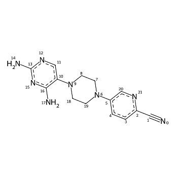 N#Cc1ccc(N2CCN(c3cnc(N)nc3N)CC2)cn1